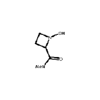 CNC(=O)C1CCN1O